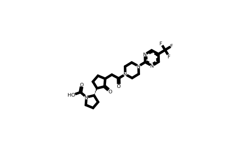 O=C1C(CC(=O)N2CCN(c3ncc(C(F)(F)F)cn3)CC2)CCC1[C@@H]1CCCN1C(=O)O